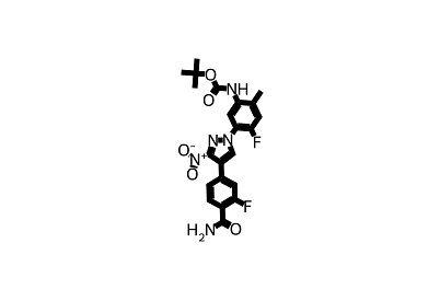 Cc1cc(F)c(-n2cc(-c3ccc(C(N)=O)c(F)c3)c([N+](=O)[O-])n2)cc1NC(=O)OC(C)(C)C